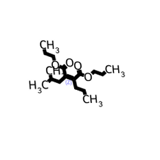 CCCOC(=O)/C(CCC)=C(/CC(C)C)C(=O)OCCC